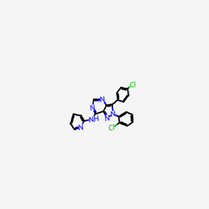 Clc1ccc(-c2c3ncnc(Nc4ccccn4)c3nn2-c2ccccc2Cl)cc1